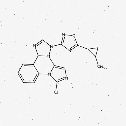 CC1CC1c1nc(N2C=NC3c4ccccc4-n4c(cnc4Cl)N32)no1